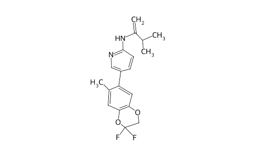 C=C(Nc1ccc(-c2cc3c(cc2C)OC(F)(F)CO3)cn1)C(C)C